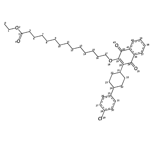 CCOC(=O)CCCCCCCCCCCCCOC1=C(C2CCC(c3ccc(Cl)cc3)CC2)C(=O)c2ccccc2C1=O